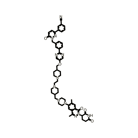 Cc1cc2c(=O)n(C3CCC(=O)NC3=O)nc(C)c2cc1N1CCN(CC2CCN(CCN3CCC(COc4cnc(-c5cccc(Cn6nc(-c7cccc(C#N)c7)ccc6=O)c5)nc4)CC3)CC2)CC1